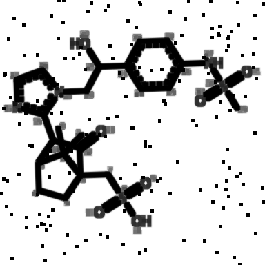 CC1(C)C2CCC1(CS(=O)(=O)O)C(=O)C2c1nccn1CC(O)c1ccc(NS(C)(=O)=O)cc1